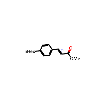 CCCCCCc1ccc(/C=C/C(=O)OC)cc1